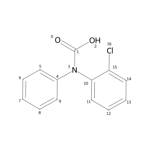 O=C(O)N(c1ccccc1)c1ccccc1Cl